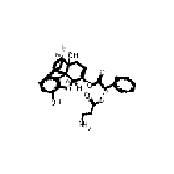 NCCC(=O)O[C@H](C(=O)OC1=CC[C@@]2(O)[C@@H]3CCCC24c2c(ccc(O)c2O[C@@H]14)C3)c1ccccc1